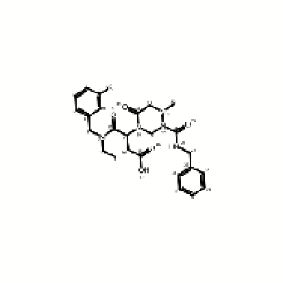 CCN(Cc1cccc(Cl)c1)C(=O)[C@H](CC(=O)O)N1CN(C(=O)NCc2ccccc2)N(C)CC1=O